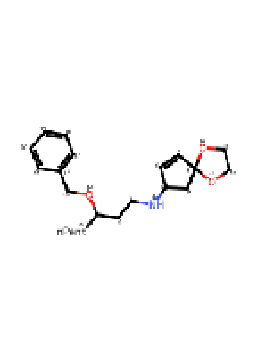 CCCCCC(CCNC1C=CC2(C1)OCCO2)OCc1ccccc1